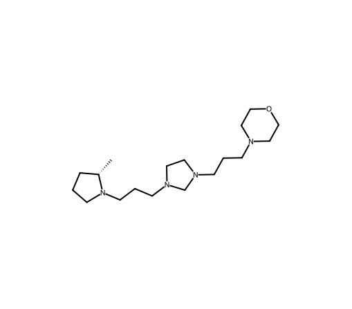 C[C@H]1CCCN1CCCN1CCN(CCCN2CCOCC2)C1